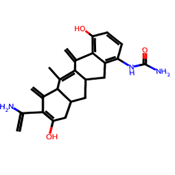 C=C(N)C1=C(O)CC2CC3Cc4c(NC(N)=O)ccc(O)c4C(=C)C3=C(C)C2C1=C